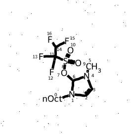 CCCCCCCCN1C=CN(C)C1OS(=O)(=O)C(F)(F)C(F)F